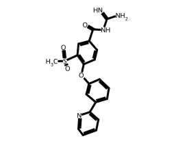 CS(=O)(=O)c1cc(C(=O)NC(=N)N)ccc1Oc1cccc(-c2ccccn2)c1